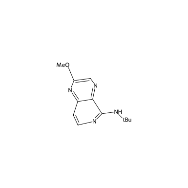 COc1cnc2c(NC(C)(C)C)nccc2n1